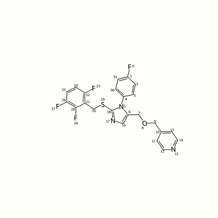 Fc1ccc(-n2c(COCc3ccncc3)cnc2SCc2c(F)ccc(F)c2F)cc1